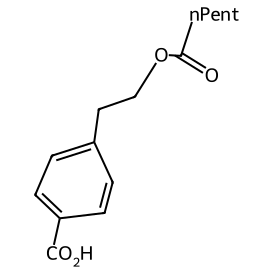 CCCCCC(=O)OCCc1ccc(C(=O)O)cc1